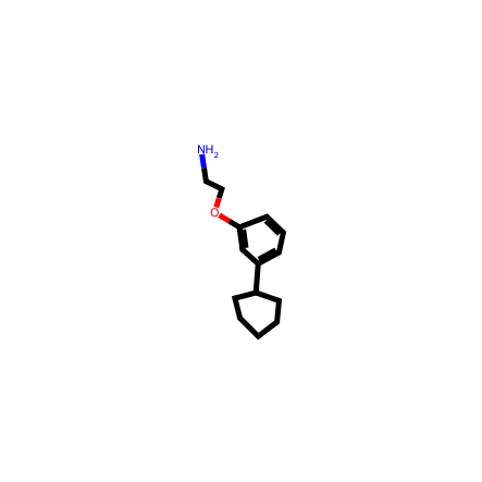 NCCOc1cccc(C2CCCCC2)c1